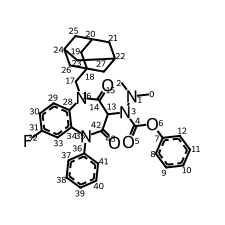 CN(C)N(C(=O)Oc1ccccc1)C1C(=O)N(CC23CC4CC(CC(C4)C2)C3)c2ccc(F)cc2N(c2ccccc2)C1=O